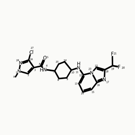 Cn1cc(C(=O)NC2CCC(Nc3cccc4nc(C(F)F)cn34)CC2)c(Cl)n1